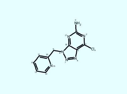 Nc1nc(Cl)c2nnn(Cc3ccccn3)c2n1